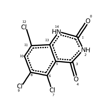 O=c1[nH]c(=O)c2c(Cl)c(Cl)cc(Cl)c2[nH]1